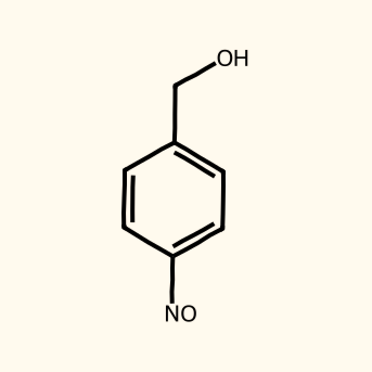 O=Nc1ccc(CO)cc1